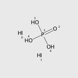 I.I.O=P(O)(O)O